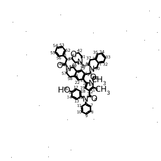 Cc1c(C(=O)N(c2ccccc2)c2ccc(O)cc2)cc(-c2cc3c(cc2C(=O)N2Cc4ccccc4C[C@H]2CN2CCOCC2)CN(C(=O)Cc2ccccc2)CC3)n1C